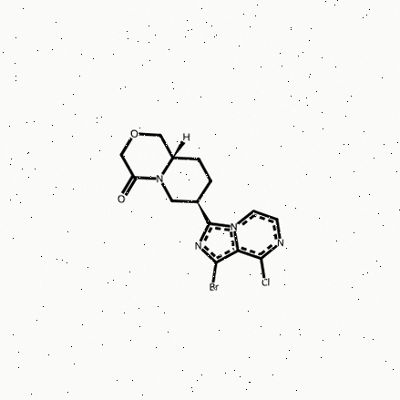 O=C1COC[C@@H]2CC[C@@H](c3nc(Br)c4c(Cl)nccn34)CN12